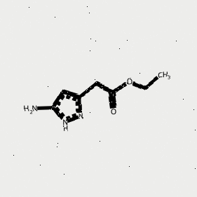 CCOC(=O)Cc1cc(N)[nH]n1